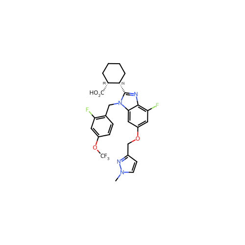 Cn1ccc(COc2cc(F)c3nc([C@H]4CCCC[C@H]4C(=O)O)n(Cc4ccc(OC(F)(F)F)cc4F)c3c2)n1